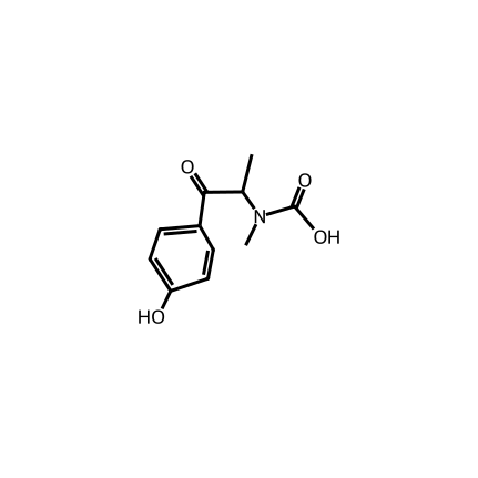 CC(C(=O)c1ccc(O)cc1)N(C)C(=O)O